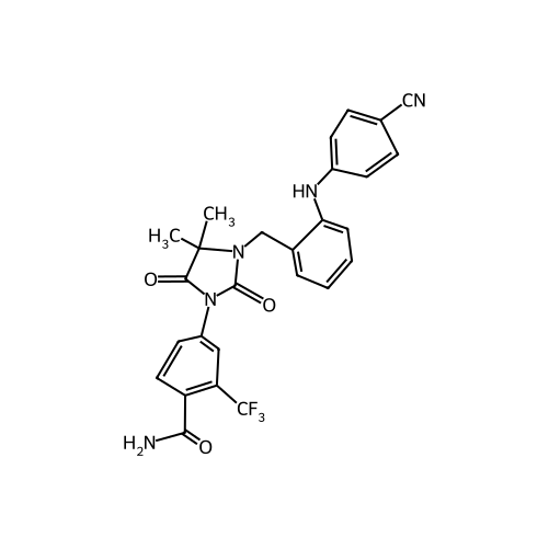 CC1(C)C(=O)N(c2ccc(C(N)=O)c(C(F)(F)F)c2)C(=O)N1Cc1ccccc1Nc1ccc(C#N)cc1